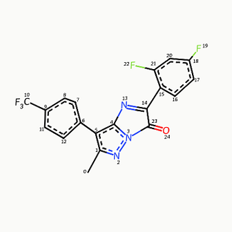 Cc1nn2c(c1-c1ccc(C(F)(F)F)cc1)N=C(c1ccc(F)cc1F)C2=O